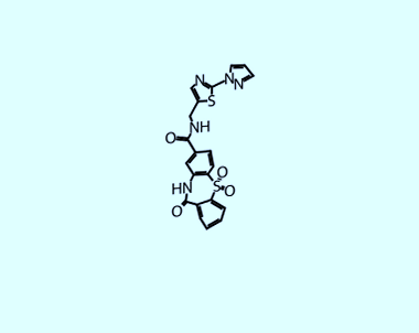 O=C(NCc1cnc(-n2cccn2)s1)c1ccc2c(c1)NC(=O)c1ccccc1S2(=O)=O